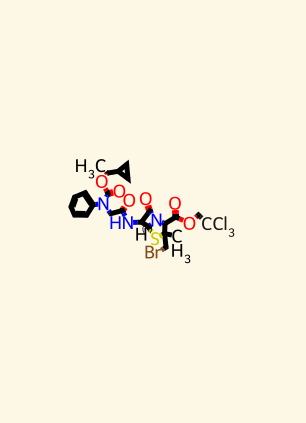 CC(OC(=O)N(CC(=O)NC1C(=O)N2C(C(=O)OCC(Cl)(Cl)Cl)C(C)(CBr)S[C@H]12)c1ccccc1)C1CC1